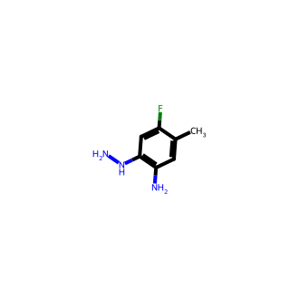 Cc1cc(N)c(NN)cc1F